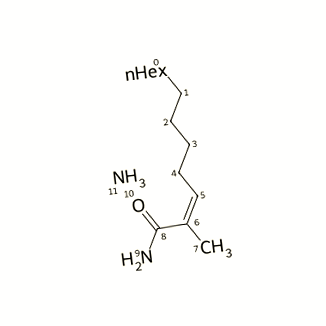 CCCCCCCCCCC=C(C)C(N)=O.N